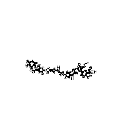 C=CCn1c(=O)c2cnc(Nc3ccc(NCCNC4CN(C5CN(c6cc7c(cc6F)C(=O)N(C6CCC(=O)NC6=O)C7)C5)C4)cc3)nc2n1-c1ccc2c(n1)[C@](O)(CC)CC2